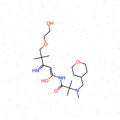 CN(CC1CCOCC1)C(C)(C)C(=O)N/C(O)=C/C(=N)C(C)(C)COCCO